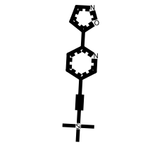 C[Si](C)(C)C#Cc1ccc(-c2ccno2)nc1